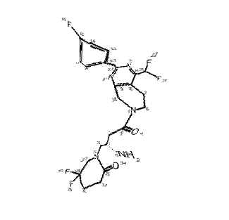 N[C@@H](CC(=O)N1CCc2c(nc(-c3ccc(F)cc3)nc2C(F)F)C1)CN1CC(F)(F)CCC1=O